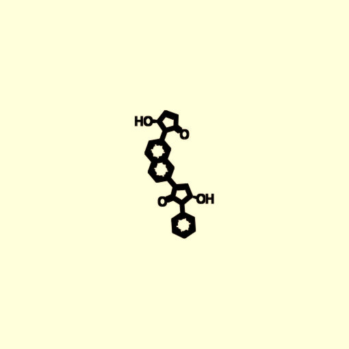 O=C1C=C[C@H](O)C1c1ccc2ccc(C3=C[C@H](O)C(c4ccccc4)C3=O)cc2c1